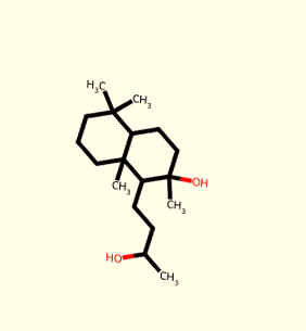 CC(O)CCC1C(C)(O)CCC2C(C)(C)CCCC21C